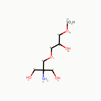 NC(CO)(CO)COCC(O)COS(=O)(=O)O